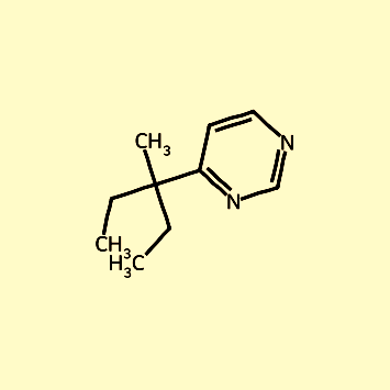 CCC(C)(CC)c1ccncn1